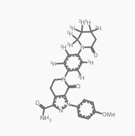 [2H]c1c([2H])c(N2C(=O)CC([2H])([2H])C([2H])([2H])C2([2H])[2H])c([2H])c([2H])c1N1CCc2c(C(N)=O)nn(-c3ccc(OC)cc3)c2C1=O